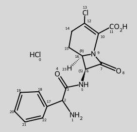 Cl.NC(C(=O)N[C@@H]1C(=O)N2C(C(=O)O)=C(Cl)CC[C@H]12)c1ccccc1